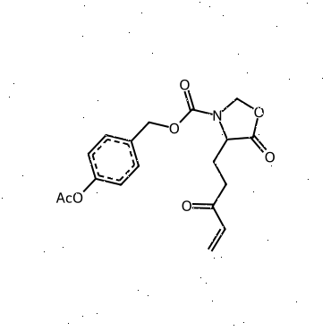 C=CC(=O)CCC1C(=O)OCN1C(=O)OCc1ccc(OC(C)=O)cc1